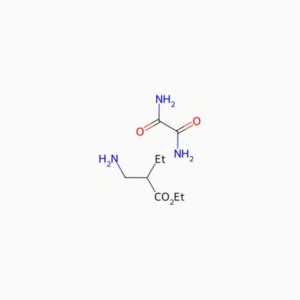 CCOC(=O)C(CC)CN.NC(=O)C(N)=O